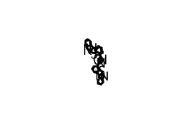 c1ccc2c(c1)nc1sc3c(-c4nnc(-c5cccc6c5sc5nc7ccccc7n56)o4)cccc3n12